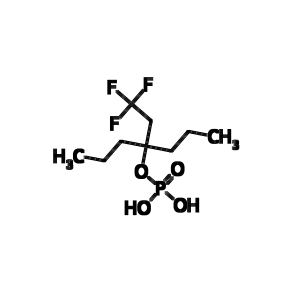 CCCC(CCC)(CC(F)(F)F)OP(=O)(O)O